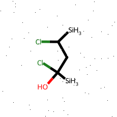 OC([SiH3])(Cl)CC([SiH3])Cl